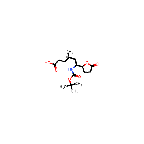 C[C@H](CCC(=O)O)CC(NC(=O)OC(C)(C)C)C1CCC(=O)O1